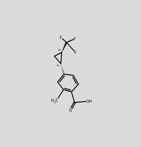 Cc1cc([C@@H]2C[C@H]2C(F)(F)F)ccc1C(=O)O